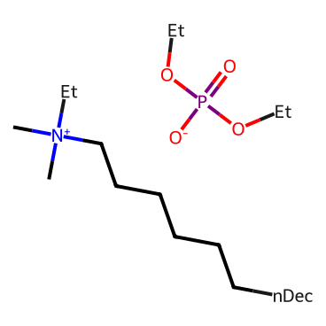 CCCCCCCCCCCCCCCC[N+](C)(C)CC.CCOP(=O)([O-])OCC